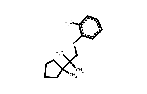 Cc1ccccc1SCC(C)(C)C1(C)CCCC1